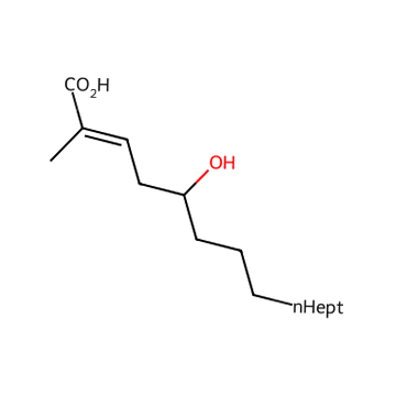 CCCCCCCCCCC(O)CC=C(C)C(=O)O